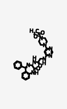 CS(=O)(=O)N1CCN(c2cc(NCC(=O)N[C@H]3N=C(c4ccccc4)c4ccccc4NC3=O)ncn2)CC1